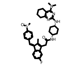 CC1=C(CC(=O)N[C@H]2CC[C@@H](Nc3nc4c(c(N(C)C)n3)CCCC4)CC2)c2cc(F)ccc2C1=Cc1ccc([S+](C)[O-])cc1